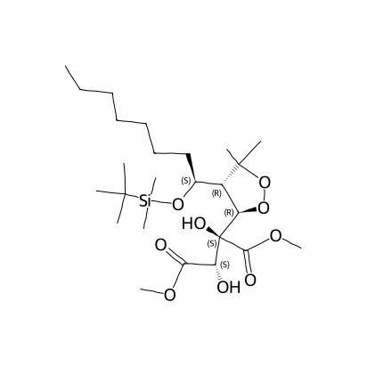 CCCCCCC[C@H](O[Si](C)(C)C(C)(C)C)[C@H]1[C@H]([C@](O)(C(=O)OC)[C@H](O)C(=O)OC)OOC1(C)C